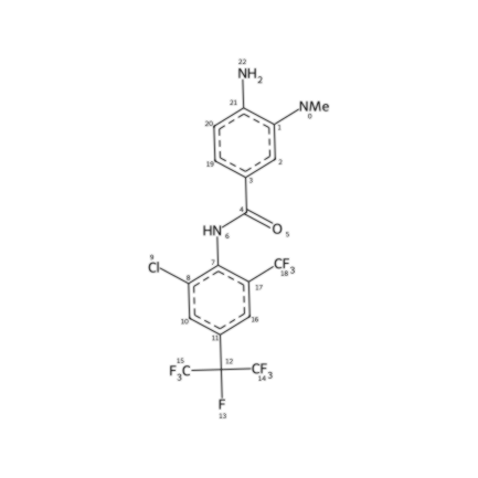 CNc1cc(C(=O)Nc2c(Cl)cc(C(F)(C(F)(F)F)C(F)(F)F)cc2C(F)(F)F)ccc1N